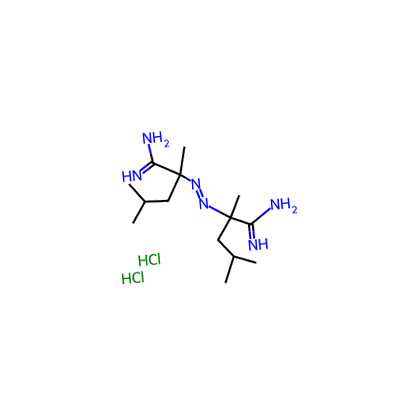 CC(C)CC(C)(N=NC(C)(CC(C)C)C(=N)N)C(=N)N.Cl.Cl